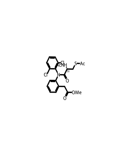 COC(=O)Cc1ccccc1N(C(=O)[C@@H](CSC(C)=O)NC(C)=O)c1c(Cl)cccc1Cl